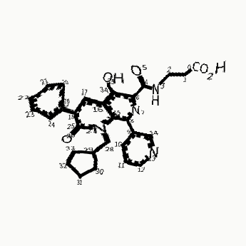 O=C(O)CCNC(=O)c1nc(-c2cccnc2)c2c(cc(-c3ccccc3)c(=O)n2CC2CCCC2)c1O